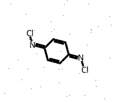 ClN=C1C=CC(=NCl)C=C1